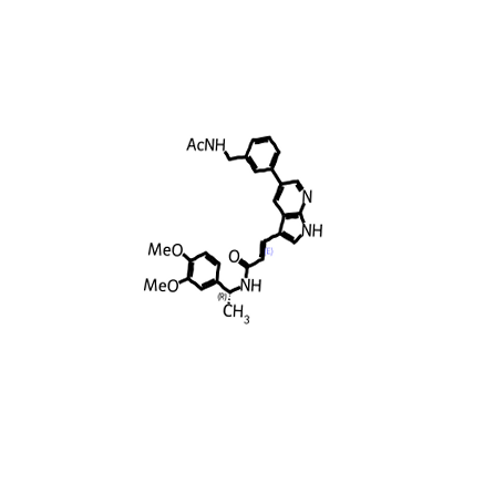 COc1ccc([C@@H](C)NC(=O)/C=C/c2c[nH]c3ncc(-c4cccc(CNC(C)=O)c4)cc23)cc1OC